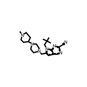 CN1CCC(N2CCN(Cc3cc4cnc(C#N)nc4n3CC(C)(C)C)CC2)CC1